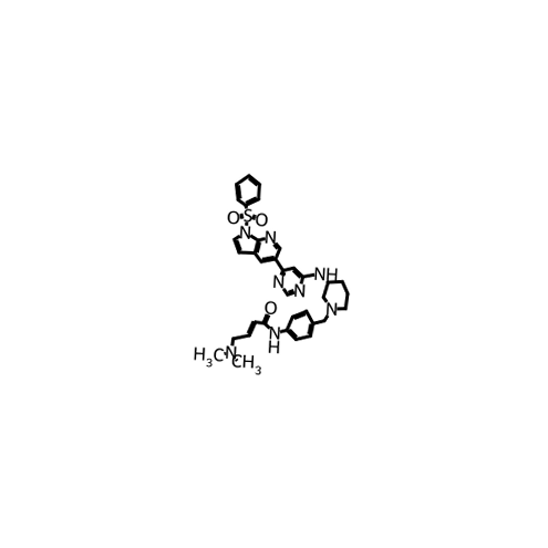 CN(C)C/C=C/C(=O)Nc1ccc(CN2CCCC(Nc3cc(-c4cnc5c(ccn5S(=O)(=O)c5ccccc5)c4)ncn3)C2)cc1